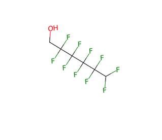 OCC(F)(F)C(F)(F)C(F)(F)C(F)(F)C(F)F